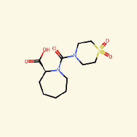 O=C(O)[C@@H]1CCCCCN1C(=O)N1CCS(=O)(=O)CC1